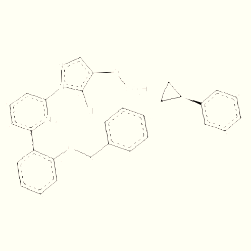 O=C(O)Oc1cnn(-c2cccc(-c3ccccc3OCc3ccc([C@@H]4C[C@H]4c4ccccc4)cc3)n2)c1C(F)(F)F